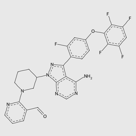 Nc1ncnc2c1c(-c1ccc(Oc3c(F)c(F)cc(F)c3F)cc1F)nn2C1CCCN(c2ncccc2C=O)C1